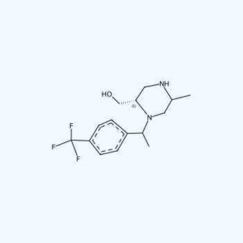 CC1CN(C(C)c2ccc(C(F)(F)F)cc2)[C@H](CO)CN1